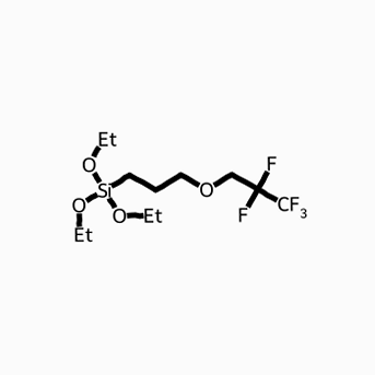 CCO[Si](CCCOCC(F)(F)C(F)(F)F)(OCC)OCC